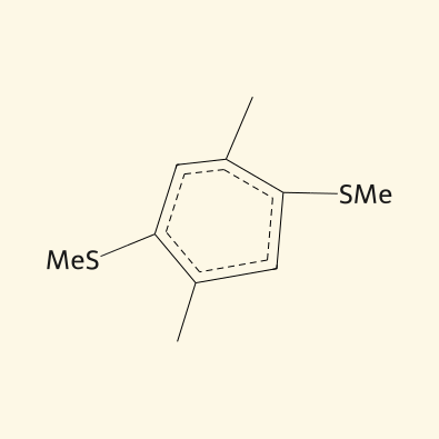 CSc1cc(C)c(SC)cc1C